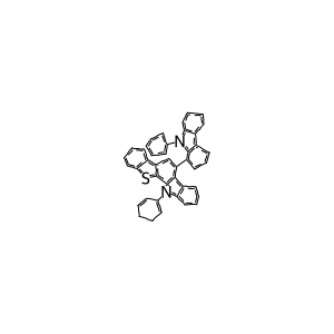 C1=CC(n2c3ccccc3c3c(-c4cccc5c6ccccc6n(-c6ccccc6)c45)cc4c5ccccc5sc4c32)=CCC1